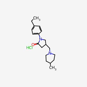 CCc1ccc(N2CC(CN3CCC(C)CC3)CC2=O)cc1.Cl